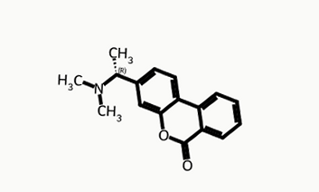 C[C@H](c1ccc2c(c1)oc(=O)c1ccccc12)N(C)C